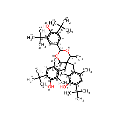 Cc1cc(C(C)(C)C)c(O)c(C)c1CC1(Cc2c(C)cc(C(C)(C)C)c(O)c2C)C(C)OC(c2cc(C(C)(C)C)c(O)c(C(C)(C)C)c2)OC1C